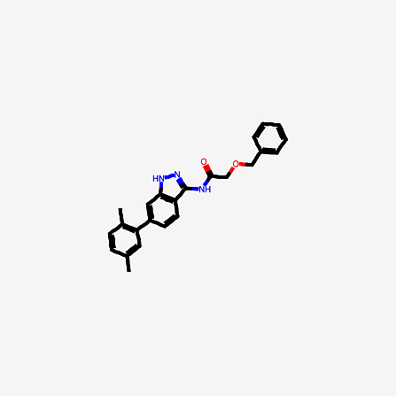 Cc1ccc(C)c(-c2ccc3c(NC(=O)COCc4ccccc4)n[nH]c3c2)c1